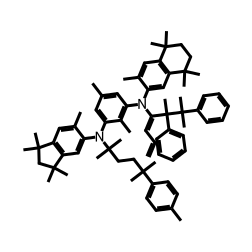 C=C/C=C(/N(c1cc2c(cc1C)C(C)(C)CCC2(C)C)c1cc(C)cc(N(c2cc3c(cc2C)C(C)(C)CC3(C)C)C(C)(C)CCC(C)(C)c2ccc(C)cc2)c1C)C(C)(c1ccccc1)C(C)(C)c1ccccc1